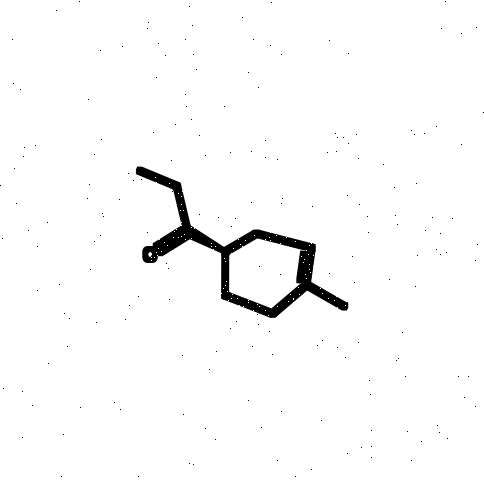 CCC(=O)[C@H]1CC=C(C)CC1